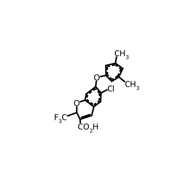 Cc1cc(C)cc(Oc2cc3c(cc2Cl)C=C(C(=O)O)C(C(F)(F)F)O3)c1